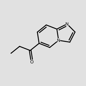 CCC(=O)c1ccc2nccn2c1